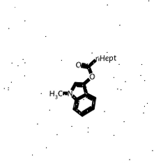 CCCCCCCC(=O)Oc1cn(C)c2ccccc12